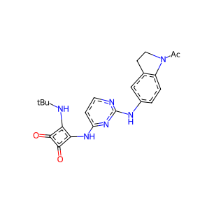 CC(=O)N1CCc2cc(Nc3nccc(Nc4c(NC(C)(C)C)c(=O)c4=O)n3)ccc21